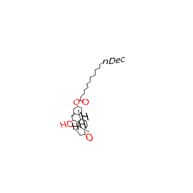 CCCCCCCCCCCCCCCCCCCCCC(=O)O[C@H]1CC[C@@]2(C)C(=CC(O)[C@@H]3[C@@H]2CC[C@]2(C)C(=O)CC[C@@H]32)C1